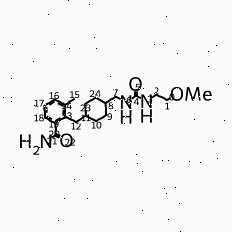 COCCNC(=O)NCC1CCC(Cc2c(C)cccc2C(N)=O)CC1